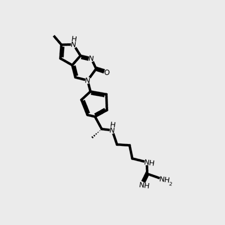 Cc1cc2cn(-c3ccc([C@@H](C)NCCCNC(=N)N)cc3)c(=O)nc2[nH]1